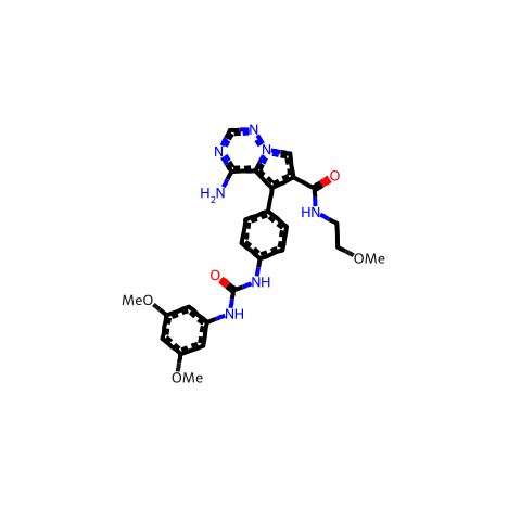 COCCNC(=O)c1cn2ncnc(N)c2c1-c1ccc(NC(=O)Nc2cc(OC)cc(OC)c2)cc1